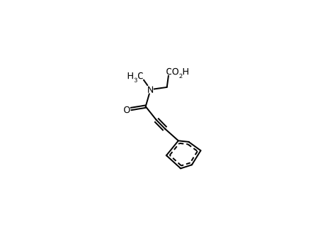 CN(CC(=O)O)C(=O)C#Cc1ccccc1